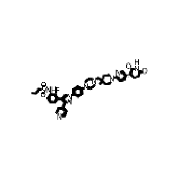 CCCS(=O)(=O)Nc1cccc(-c2cn(-c3ccc(N4CCN(CC5(C)CCN(c6ccc([C@@H]7CCC(=O)NC7=O)cn6)CC5)CC4)cc3)nc2-c2ccncc2)c1F